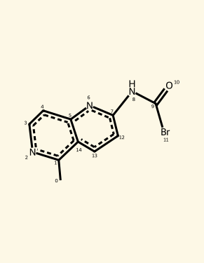 Cc1nccc2nc(NC(=O)Br)ccc12